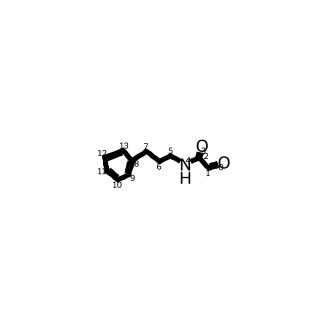 O=CC(=O)NCCCc1ccccc1